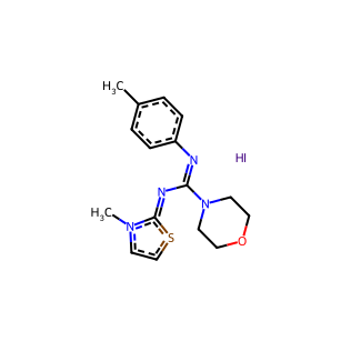 Cc1ccc(N=C(N=c2sccn2C)N2CCOCC2)cc1.I